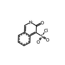 O=C1[N]C=c2ccccc2=C1S(=O)(=O)Cl